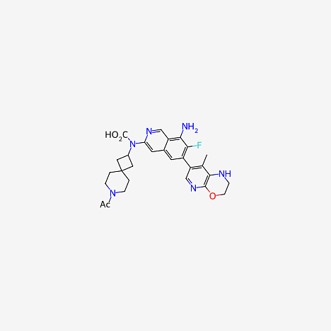 CC(=O)N1CCC2(CC1)CC(N(C(=O)O)c1cc3cc(-c4cnc5c(c4C)NCCO5)c(F)c(N)c3cn1)C2